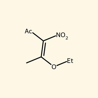 CCOC(C)=C(C(C)=O)[N+](=O)[O-]